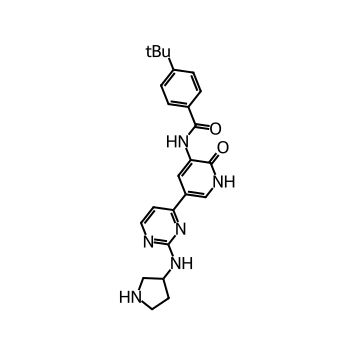 CC(C)(C)c1ccc(C(=O)Nc2cc(-c3ccnc(NC4CCNC4)n3)c[nH]c2=O)cc1